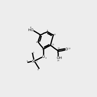 C[Si](C)(C)Oc1cc(O)ccc1C(=O)O